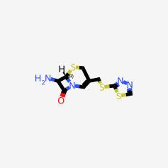 NC1C(=O)N2C=C(CSc3nncs3)CS[C@H]12